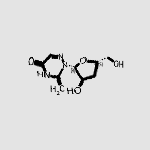 C=C1NC(=O)C=NN1[C@@H]1O[C@H](CO)CC1O